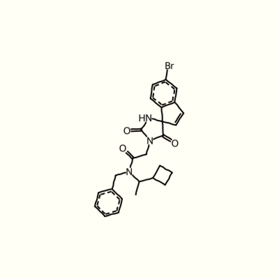 CC(C1CCC1)N(Cc1ccccc1)C(=O)CN1C(=O)NC2(C=Cc3cc(Br)ccc32)C1=O